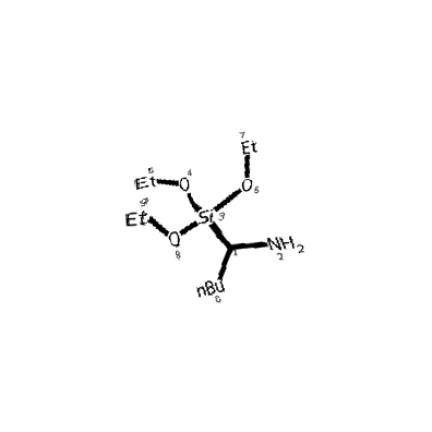 CCCCC(N)[Si](OCC)(OCC)OCC